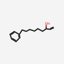 C=CC(O)CCCCCCc1ccccc1